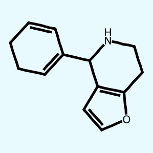 C1=CC(C2NCCc3occc32)=CCC1